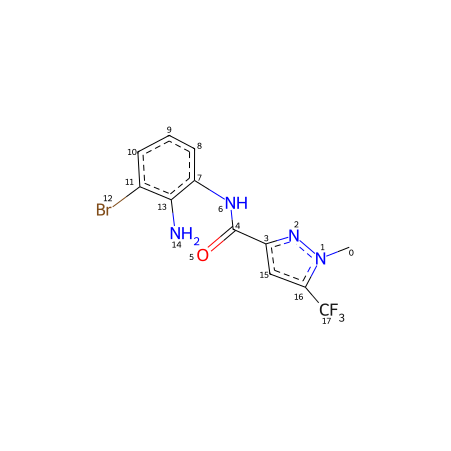 Cn1nc(C(=O)Nc2cccc(Br)c2N)cc1C(F)(F)F